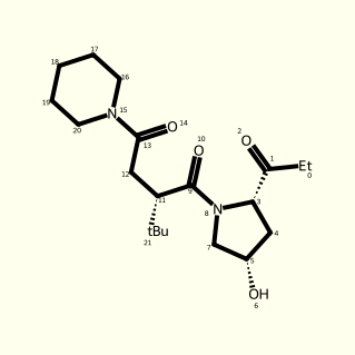 CCC(=O)[C@@H]1C[C@H](O)CN1C(=O)[C@@H](CC(=O)N1CCCCC1)C(C)(C)C